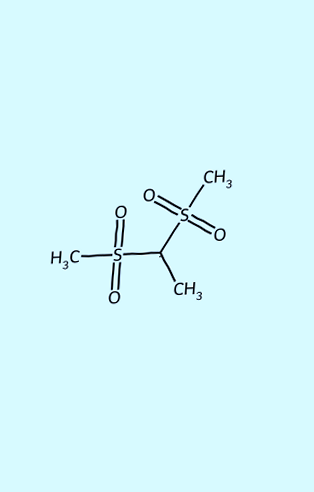 C[C](S(C)(=O)=O)S(C)(=O)=O